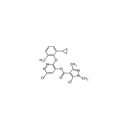 Cc1cccc(C2CC2)c1Oc1nnc(Cl)cc1OC(=O)c1c(C)nn(C)c1Cl